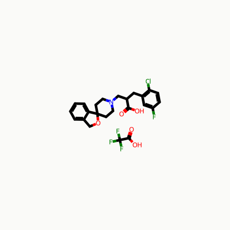 O=C(O)C(Cc1cc(F)ccc1Cl)CN1CCC2(CC1)OCc1ccccc12.O=C(O)C(F)(F)F